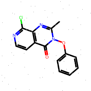 Cc1nc2c(Cl)nccc2c(=O)n1Oc1ccccc1